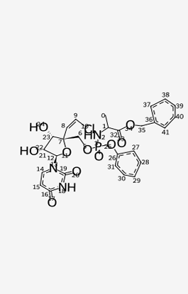 CC(NP(=O)(OC[C@@]1(/C=C\Cl)O[C@@H](n2ccc(=O)[nH]c2=O)[C@H](O)[C@@H]1O)Oc1ccccc1)C(=O)OCc1ccccc1